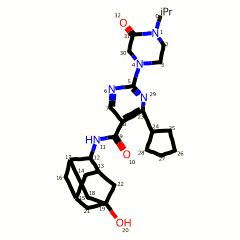 CC(C)N1CCN(c2ncc(C(=O)NC3C4CC5CC3CC(O)(C5)C4)c(C3CCCC3)n2)CC1=O